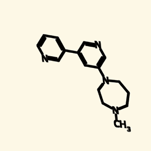 CN1CCCN(c2cncc(-c3cccnc3)c2)CC1